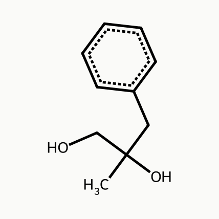 CC(O)(CO)Cc1ccccc1